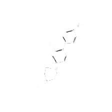 CCCCC[C@H]1CC[Si@H](c2ccc(-c3ccc(CCC)cc3)c(F)c2)CC1